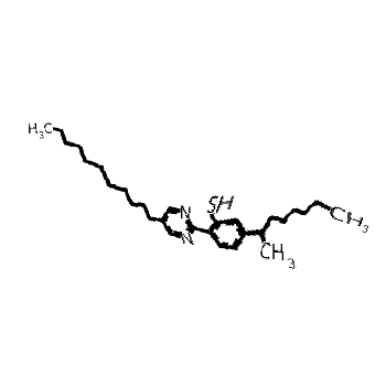 CCCCCCCCCCCc1cnc(-c2ccc(C(C)CCCCCC)cc2S)nc1